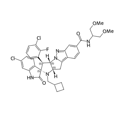 COCC(COC)NC(=O)c1ccc2c3n(nc2c1)[C@@H]1[C@H](C3)N(CC2CCC2)[C@@]2(C(=O)Nc3cc(Cl)ccc32)[C@H]1c1cccc(Cl)c1F